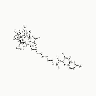 CC1=C[C@H]2[C@@]3(O)[C@H](C)[C@@H](O)[C@]4(OC(=O)N(C)CCCCCCCCCCCCN(C)C(=O)c5cc6ccc(O)cc6oc5=O)[C@H]([C@@H]3C=C(CO)C[C@]2(O)C1=O)C4(C)C